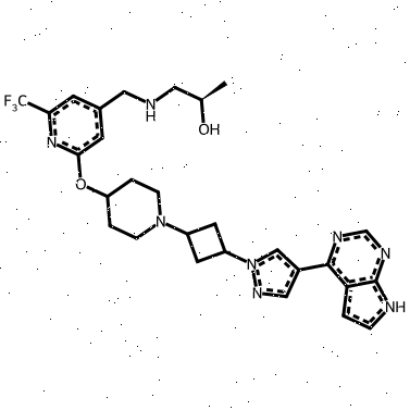 C[C@@H](O)CNCc1cc(OC2CCN(C3C[C](n4cc(-c5ncnc6[nH]ccc56)cn4)C3)CC2)nc(C(F)(F)F)c1